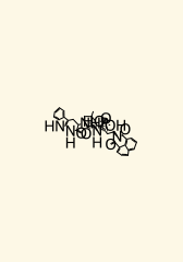 CNC(=O)C(Cc1c[nH]c2ccccc12)NC(=O)[C@H](CC(C)C)N[C@H](CCN1C(=O)c2cccc3cccc(c23)C1=O)P(=O)(O)O